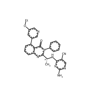 CCOc1cncc(-c2cccc3nc([C@@H](C)Nc4nc(N)ncc4C#N)n(-c4ccccc4)c(=O)c23)c1